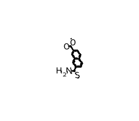 COC(=O)c1ccc2ccc(C(N)=S)cc2c1